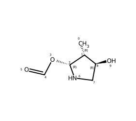 C[C@H]1[C@@H](OC=O)NC[C@@H]1O